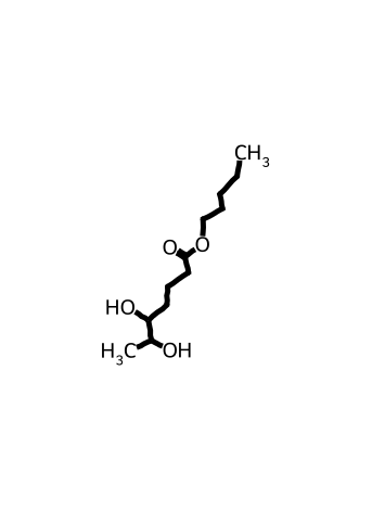 CCCCCOC(=O)CCCC(O)C(C)O